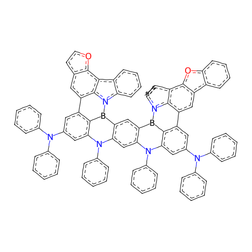 c1ccc(N(c2ccccc2)c2cc3c4c(c2)N(c2ccccc2)c2cc5c(cc2B4n2c4ccccc4c4c6occc6cc-3c42)B2c3c(cc(N(c4ccccc4)c4ccccc4)cc3N5c3ccccc3)-c3cc4c5ccccc5oc4c4c5ccccc5n2c34)cc1